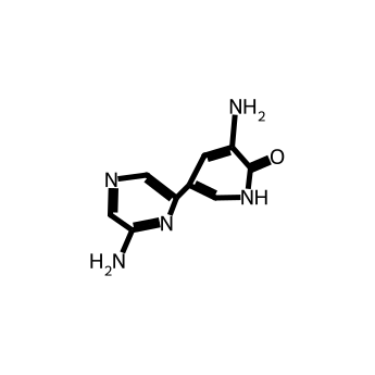 Nc1cncc(-c2c[nH]c(=O)c(N)c2)n1